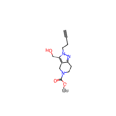 C#CCCn1nc2c(c1CO)CN(C(=O)OC(C)(C)C)CC2